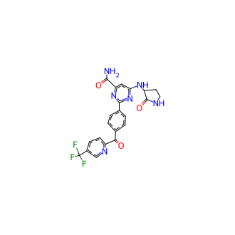 NC(=O)c1cc(NC2CCNC2=O)nc(-c2ccc(C(=O)c3ccc(C(F)(F)F)cn3)cc2)n1